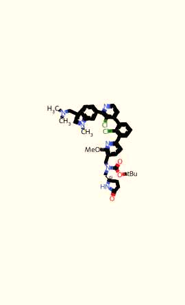 COc1nc(-c2cccc(-c3ccnc(-c4ccc5c(CN(C)C)cn(C)c5c4)c3Cl)c2Cl)ccc1CN(C[C@@H]1CCC(=O)N1)C(=O)OC(C)(C)C